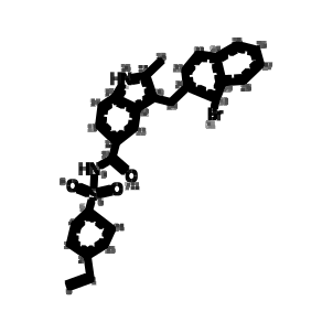 C=Cc1ccc(S(=O)(=O)NC(=O)c2ccc3[nH]c(C)c(Cc4ccc5ccccc5c4Br)c3c2)cc1